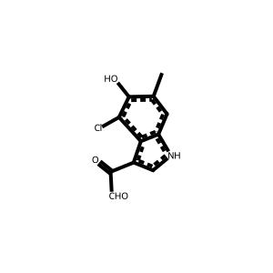 Cc1cc2[nH]cc(C(=O)C=O)c2c(Cl)c1O